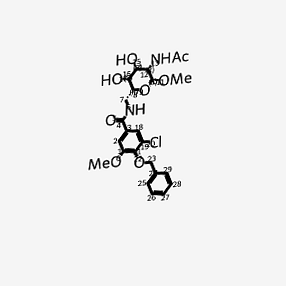 COc1cc(C(=O)NC[C@H]2O[C@H](OC)[C@H](NC(C)=O)[C@@H](O)[C@@H]2O)cc(Cl)c1OCc1ccccc1